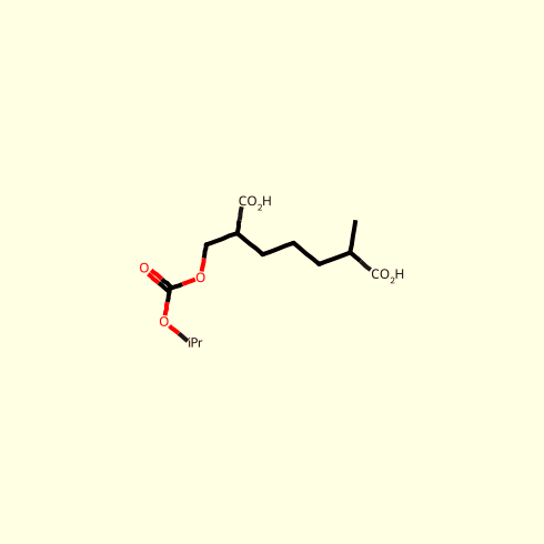 CC(C)OC(=O)OCC(CCCC(C)C(=O)O)C(=O)O